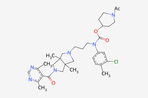 CC(=O)N1CCC(OC(=O)N(CCCN2CC3(C)CN(C(=O)c4c(C)ncnc4C)CC3(C)C2)c2ccc(C)c(Cl)c2)CC1